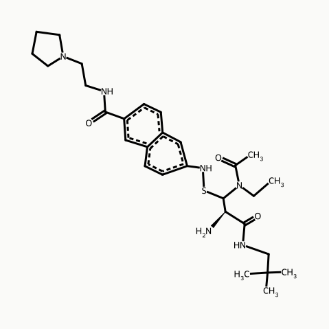 CCN(C(C)=O)C(SNc1ccc2cc(C(=O)NCCN3CCCC3)ccc2c1)[C@H](N)C(=O)NCC(C)(C)C